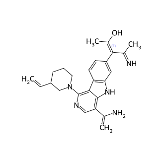 C=CC1CCCN(c2ncc(C(=C)N)c3[nH]c4cc(/C(C(C)=N)=C(\C)O)ccc4c23)C1